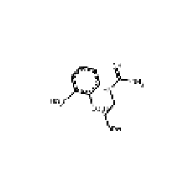 CCCCCCCCCCCCNC(=N)N.O=C(O)c1ccccc1C(=O)O